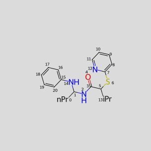 CCCC(NC(=O)C(Sc1ccccn1)C(C)C)Nc1ccccc1